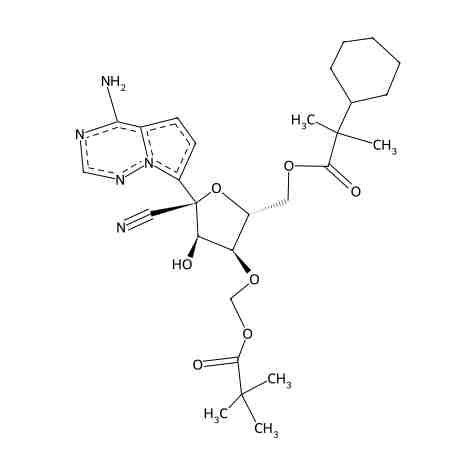 CC(C)(C)C(=O)OCO[C@H]1[C@@H](O)[C@](C#N)(c2ccc3c(N)ncnn23)O[C@@H]1COC(=O)C(C)(C)C1CCCCC1